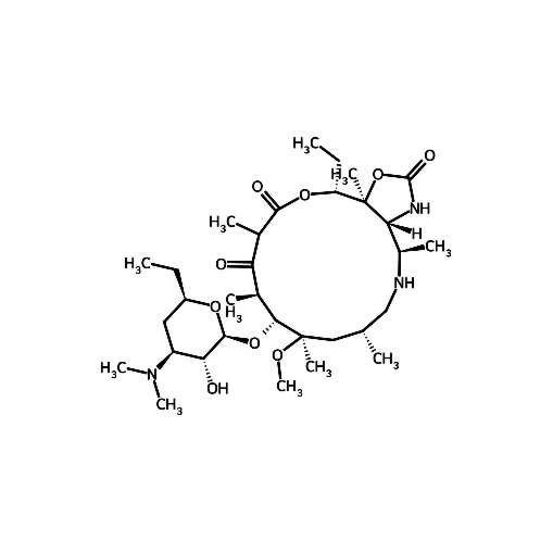 CC[C@@H]1C[C@H](N(C)C)[C@@H](O)[C@H](O[C@@H]2[C@@H](C)C(=O)C(C)C(=O)O[C@H](CC)[C@@]3(C)OC(=O)N[C@@H]3[C@@H](C)NC[C@H](C)C[C@@]2(C)OC)O1